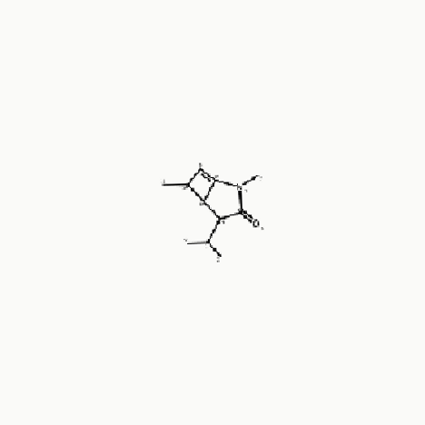 CC(C)C1C(=O)N(C)C2=CC(C)C21